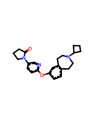 O=C1CCCN1c1ccc(Oc2ccc3c(c2)CCN(C2CCC2)CC3)nc1